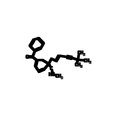 CNCC1(CC=CC#CC(C)(C)C)C=CC=C(C(=O)c2ccccc2)C1